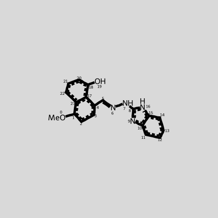 COc1ccc(/C=N/Nc2nc3ccccc3[nH]2)c2c(O)cccc12